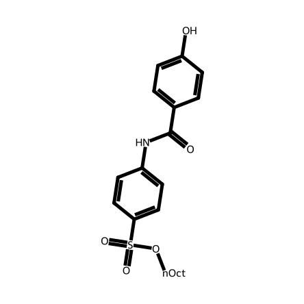 CCCCCCCCOS(=O)(=O)c1ccc(NC(=O)c2ccc(O)cc2)cc1